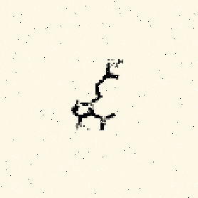 CC(CCn1ncc(N)c1N(C)C)S(=O)(=O)O